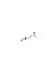 CO/N=C(\COc1ccc(COc2ccc(C(N)CC(=O)O)cc2)cc1)C1CC1